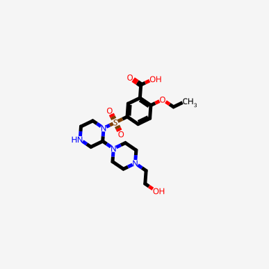 CCOc1ccc(S(=O)(=O)N2CCNCC2N2CCN(CCO)CC2)cc1C(=O)O